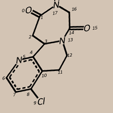 O=C1CC2c3nccc(Cl)c3CCN2C(=O)CN1